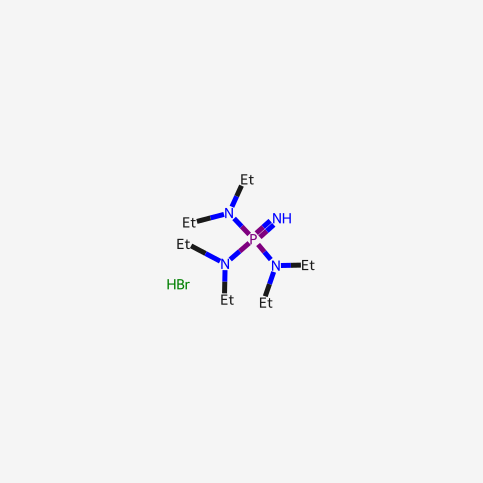 Br.CCN(CC)P(=N)(N(CC)CC)N(CC)CC